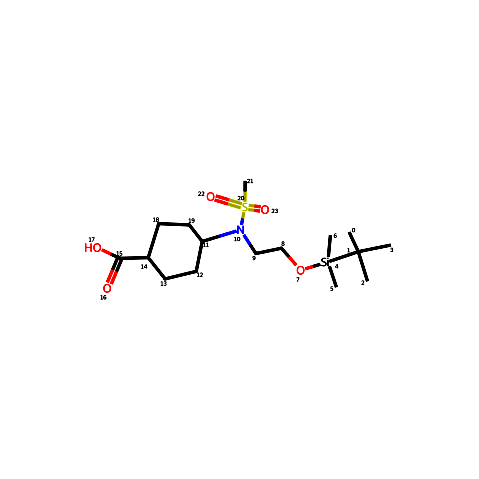 CC(C)(C)[Si](C)(C)OCCN(C1CCC(C(=O)O)CC1)S(C)(=O)=O